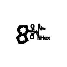 [CH2]CCCCCN(N(C)C)S(=O)(=O)c1cccc2ccccc12